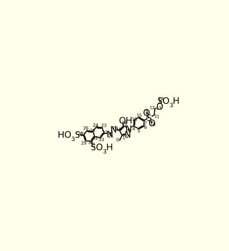 Cc1nn(-c2ccc(S(=O)(=O)CCOS(=O)(=O)O)cc2)c(O)c1/N=N/c1ccc2cc(S(=O)(=O)O)cc(S(=O)(=O)O)c2c1